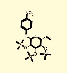 C[Si](C)(C)O[C@@H]1[C@H](O[Si](C)(C)C)[C@@H](Oc2ccc([N+](=O)[O-])cc2)O[C@H](CI)[C@H]1O[Si](C)(C)C